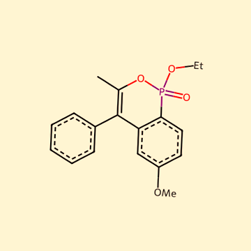 CCOP1(=O)OC(C)=C(c2ccccc2)c2cc(OC)ccc21